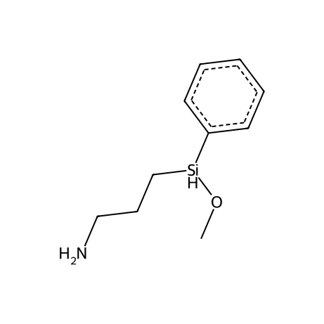 CO[SiH](CCCN)c1ccccc1